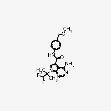 COCc1ccc(NC(=O)c2cn(C(C)(C)C(F)F)c3ncnc(N)c23)cc1